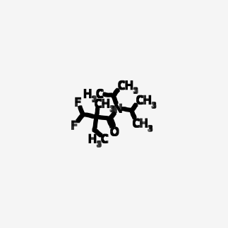 CCC(C)(C(=O)N(C(C)C)C(C)C)C(F)F